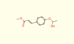 COC(=O)C=Cc1ccc(OC(C)O)cc1